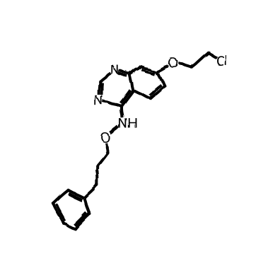 ClCCOc1ccc2c(NOCCCc3ccccc3)ncnc2c1